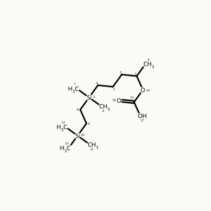 CC(CCC[Si](C)(C)CC[Si](C)(C)C)OC(=O)O